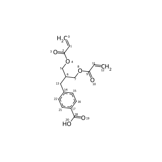 C=CC(=O)OCC(COC(=O)C=C)Cc1ccc(C(=O)O)cc1